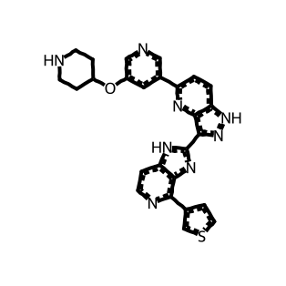 c1cc2[nH]c(-c3n[nH]c4ccc(-c5cncc(OC6CCNCC6)c5)nc34)nc2c(-c2ccsc2)n1